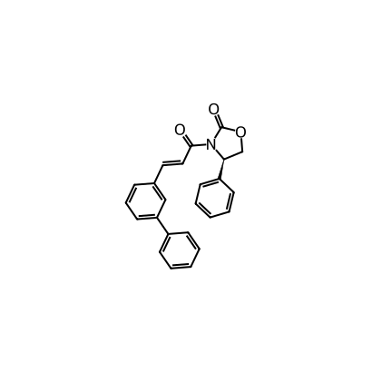 O=C(/C=C/c1cccc(-c2ccccc2)c1)N1C(=O)OC[C@H]1c1ccccc1